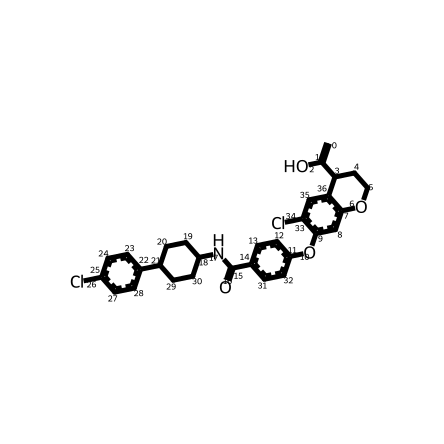 C=C(O)C1CCOc2cc(Oc3ccc(C(=O)NC4CCC(c5ccc(Cl)cc5)CC4)cc3)c(Cl)cc21